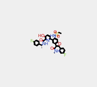 CCS(=O)(=O)Nc1cc2oc(-c3ccc(F)cc3)c(C(=O)NC)c2cc1-c1ccc(O)c(C(=O)N[C@H](C)c2ccc(F)cc2)n1